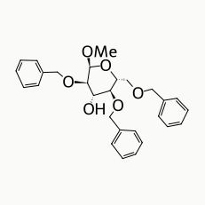 CO[C@H]1O[C@H](COCc2ccccc2)[C@@H](OCc2ccccc2)[C@H](O)[C@H]1OCc1ccccc1